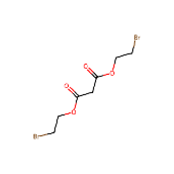 O=C(CC(=O)OCCBr)OCCBr